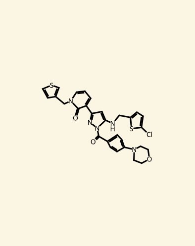 O=C(c1ccc(N2CCOCC2)cc1)n1nc(-c2cccn(Cc3ccsc3)c2=O)cc1NCc1ccc(Cl)s1